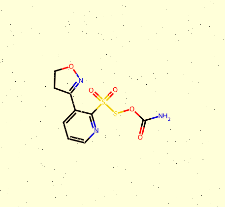 NC(=O)OSS(=O)(=O)c1ncccc1C1=NOCC1